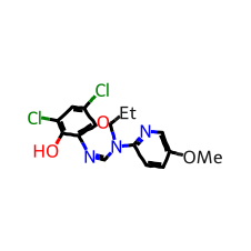 CCC(=O)N(/C=N\c1cc(Cl)cc(Cl)c1O)c1ccc(OC)cn1